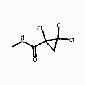 CNC(=O)C1(Cl)CC1(Cl)Cl